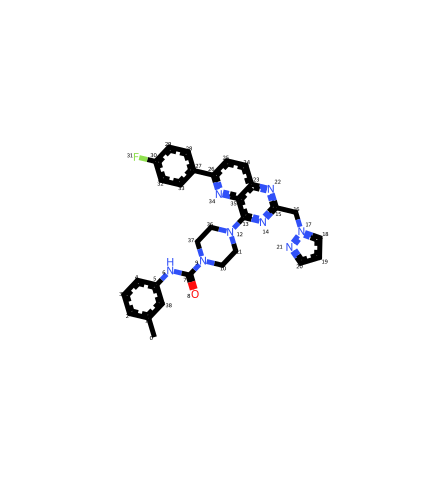 Cc1cccc(NC(=O)N2CCN(c3nc(Cn4cccn4)nc4ccc(-c5ccc(F)cc5)nc34)CC2)c1